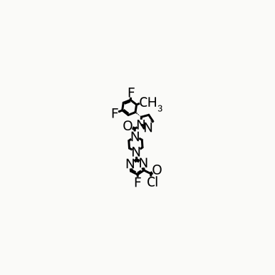 CC1C(F)=CC(F)=CC1[C@@H]1CC=NN1C(=O)N1CCN(c2ncc(F)c(C(=O)Cl)n2)CC1